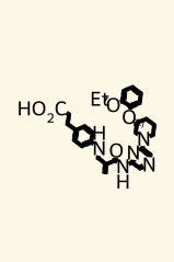 C=C(CNc1ccc(CCC(=O)O)cc1)C(=O)Nc1cncc(N2CCC[C@@H](Oc3ccccc3OCC)C2)n1